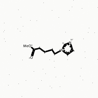 COC(=O)CCCCn1ccnc1